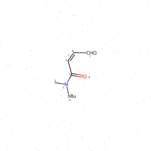 CCCCN(C)C(=O)/C=C\C=O